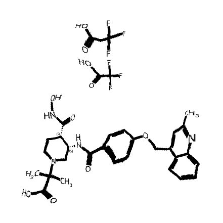 Cc1cc(COc2ccc(C(=O)N[C@@H]3CN(C(C)(C)C(=O)O)CC[C@@H]3C(=O)NO)cc2)c2ccccc2n1.O=C(O)C(F)(F)F.O=C(O)C(F)(F)F